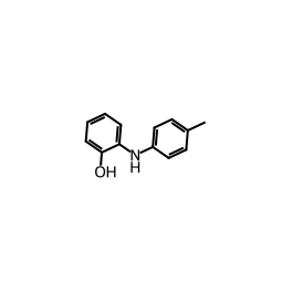 Cc1ccc(Nc2ccccc2O)cc1